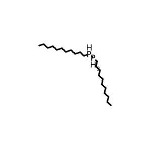 CCCCCCCCCCCP[PH3]CCCCCCCCCCC